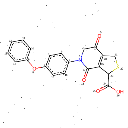 O=C1CN(c2ccc(Oc3ccccc3)cc2)C(=O)C2=C1CSC2C(=O)O